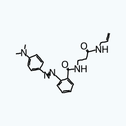 C=CCNC(=O)CCNC(=O)c1ccccc1N=Nc1ccc(N(C)C)cc1